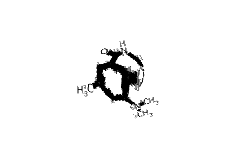 Cc1cc2c(c(N(C)C)c1)OCNC2=O